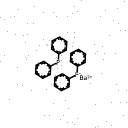 [Ba+2].c1ccc([P-]c2ccccc2)cc1.c1ccc([P-]c2ccccc2)cc1